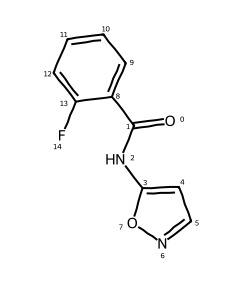 O=C(Nc1ccno1)c1ccccc1F